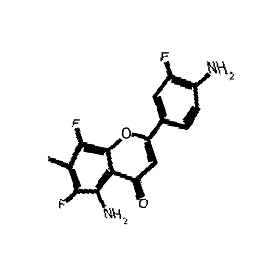 Cc1c(F)c(N)c2c(=O)cc(-c3ccc(N)c(F)c3)oc2c1F